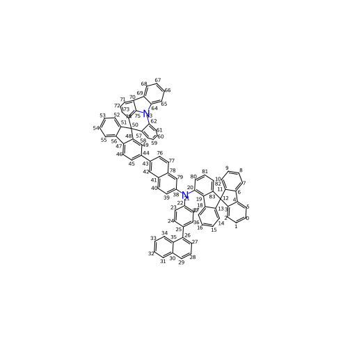 c1ccc2c(c1)-c1ccccc1C21c2ccccc2-c2c(N(c3ccc(-c4cccc5ccccc45)cc3)c3ccc4cc(-c5ccc6c(c5)C5(c7ccccc7-6)c6ccccc6-n6c7ccccc7c7cccc5c76)ccc4c3)cccc21